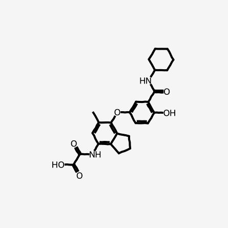 Cc1cc(NC(=O)C(=O)O)c2c(c1Oc1ccc(O)c(C(=O)NC3CCCCC3)c1)CCC2